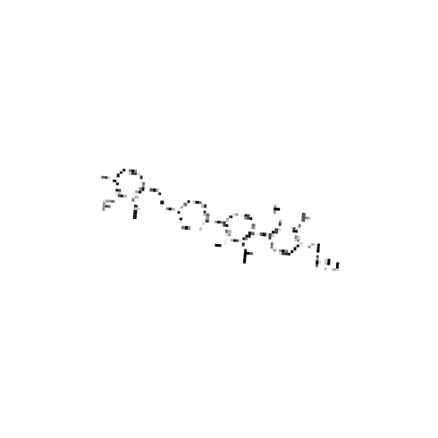 CCCCOc1ccc(-c2ccc(C3=CCC(CCc4ccc(C)c(F)c4F)CC3)c(F)c2F)c(F)c1F